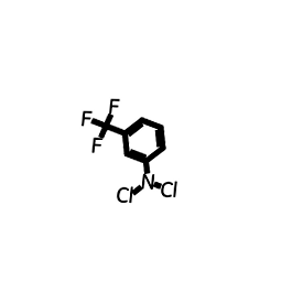 FC(F)(F)c1cccc(N(Cl)Cl)c1